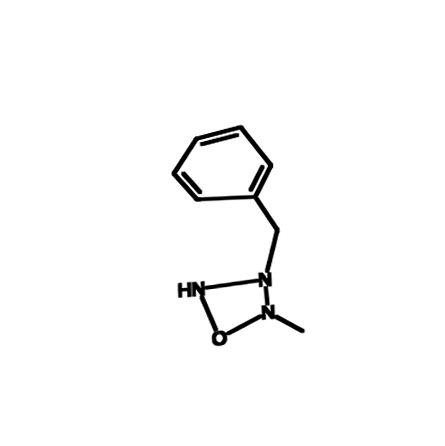 CN1ONN1Cc1ccccc1